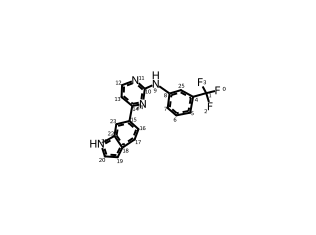 FC(F)(F)c1cccc(Nc2nccc(-c3ccc4cc[nH]c4c3)n2)c1